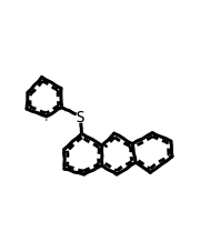 [c]1ccccc1Sc1cccc2cc3ccccc3cc12